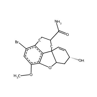 COc1cc(Br)c2c3c1OC1C[C@@H](O)C=CC31CC(C(N)=O)CC2